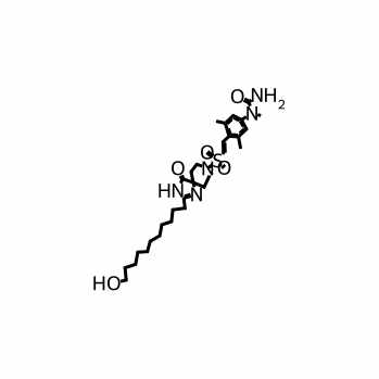 Cc1cc(N(C)C(N)=O)cc(C)c1C=CS(=O)(=O)N1CCC2(CC1)N=C(CCCCCCCCCCCO)NC2=O